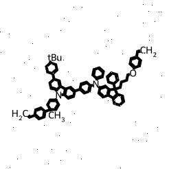 C=Cc1ccc(OCCCCC2(C3C=CC=CC3)C3=C(CCC=C3)c3ccc(N(c4ccccc4)c4ccc(-c5ccc6c(c5)c5c(n6C6=CCC(C)(c7ccc(C=C)cc7)C=C6)=CCC(C6=CCC(C(C)(C)C)CC6)C=5)cc4)cc32)cc1